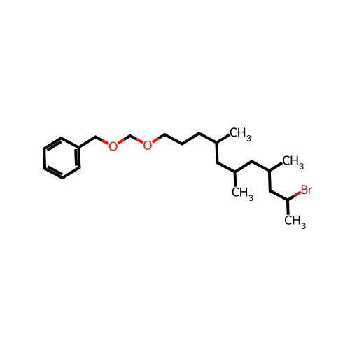 CC(Br)CC(C)CC(C)CC(C)CCCOCOCc1ccccc1